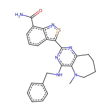 CN1CCCCc2nc(-c3snc4c(C(N)=O)cccc34)nc(NCc3ccccc3)c21